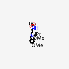 COc1ccc(CN(CCCNC(=O)OC(C)(C)C)CC(C)C)c(OC)c1